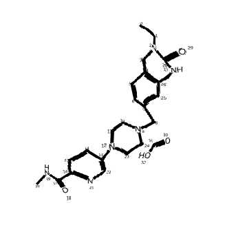 CCN1Cc2ccc(CN3CCN(c4ccc(C(=O)NC)nc4)CC3)cc2NC1=O.O=CO